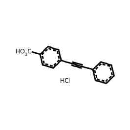 Cl.O=C(O)c1ccc(C#Cc2ccccc2)cc1